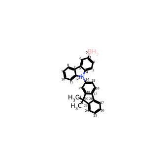 Bc1ccc2c(c1)c1ccccc1n2-c1ccc2c(c1)C(C)(C)c1ccccc1-2